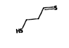 S=CCCS